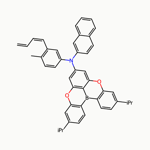 C=C/C=C\c1cc(N(c2cc3c4c(c2)Oc2cc(C(C)C)ccc2B4c2ccc(C(C)C)cc2O3)c2ccc3ccccc3c2)ccc1C